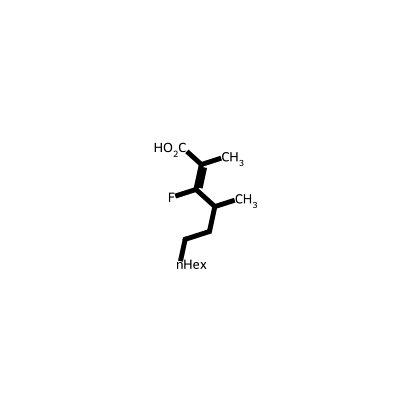 CCCCCCCCC(C)C(F)=C(C)C(=O)O